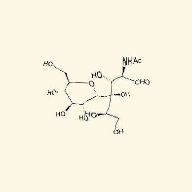 CC(=O)N[C@@H](C=O)[C@@H](O)[C@](O)([C@H](O)CO)[C@H]1O[C@H](CO)[C@@H](O)[C@H](O)[C@H]1O